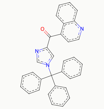 O=C(c1cn(C(c2ccccc2)(c2ccccc2)c2ccccc2)cn1)c1ccnc2ccccc12